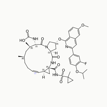 COc1ccc2c(O[C@@H]3C[C@H]4C(=O)N[C@]5(C(=O)NS(=O)(=O)C6(C)CC6)C[C@H]5/C=C\CC[C@@H](C)C[C@@H](C)[C@H](NC(=O)O)C(=O)N4C3)nc(-c3ccc(OC(C)C)c(F)c3)cc2c1